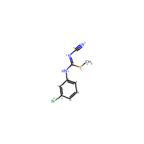 CSC(=NC#N)Nc1cccc(Br)c1